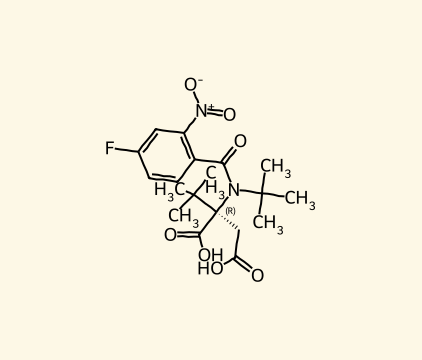 CC(C)(C)N(C(=O)c1ccc(F)cc1[N+](=O)[O-])[C@@](CC(=O)O)(C(=O)O)C(C)(C)C